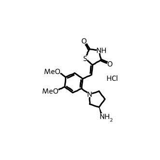 COc1cc(/C=C2\SC(=O)NC2=O)c(N2CC[C@@H](N)C2)cc1OC.Cl